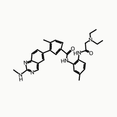 CCN(CC)CC(=O)Nc1ccc(C)cc1NC(=O)c1ccc(C)c(-c2ccc3nc(NC)ncc3c2)c1